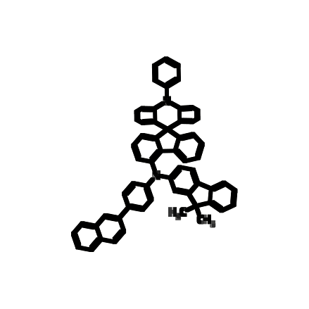 CC1(C)c2ccccc2-c2ccc(N(c3ccc(-c4ccc5ccccc5c4)cc3)c3cccc4c3-c3ccccc3C43c4ccccc4N(c4ccccc4)c4ccccc43)cc21